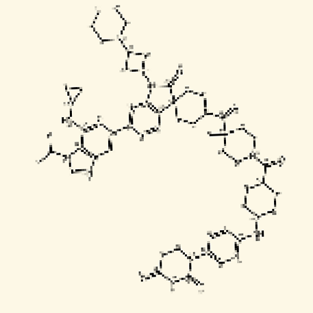 CC(C)n1cnc2cc(-c3ccc4c(c3)N(C3CC(N5CCCCC5)C3)C(=O)C43CCN(C(=O)C4(C)CCN(C(=O)C5CCC(Nc6ccc(N7CCC(=O)NC7=O)cn6)CC5)CC4)CC3)nc(NC3CC3)c21